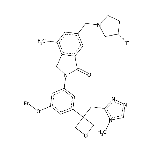 CCOc1cc(N2Cc3c(cc(CN4CC[C@H](F)C4)cc3C(F)(F)F)C2=O)cc(C2(Cc3nncn3C)COC2)c1